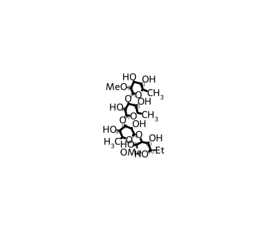 CC[C@@H](O)[C@H](O)C(O[C@H]1OC(C)[C@@H](O)[C@H](O[C@H]2OC(C)[C@@H](O)C(O[C@H]3OC(C)[C@@H](O)C(O)[C@H]3OC)[C@H]2O)C1O)[C@H](O)OC